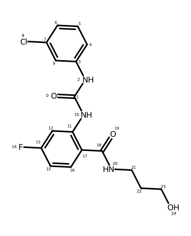 O=C(Nc1cccc(Cl)c1)Nc1cc(F)ccc1C(=O)NCCCO